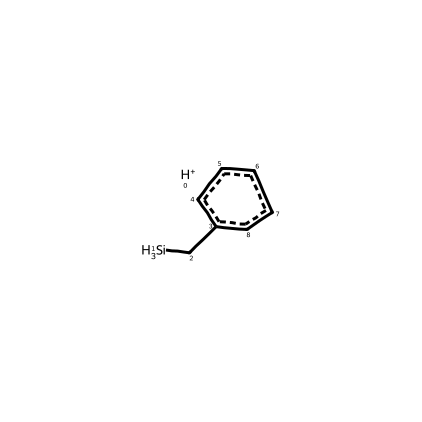 [H+].[SiH3]Cc1ccccc1